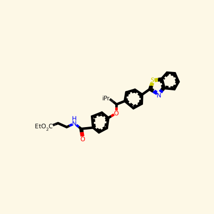 CCOC(=O)CCNC(=O)c1ccc(OC(c2ccc(-c3nc4ccccc4s3)cc2)C(C)C)cc1